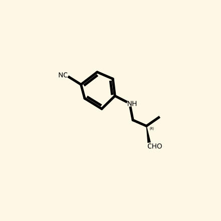 C[C@@H](C=O)CNc1ccc(C#N)cc1